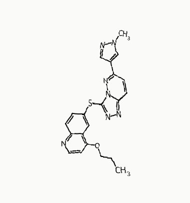 CCCOc1ccnc2ccc(Sc3nnc4ccc(-c5cnn(C)c5)nn34)cc12